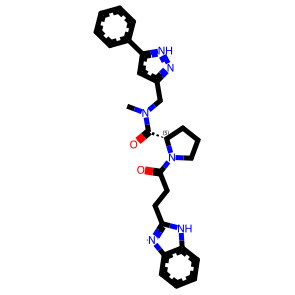 CN(Cc1cc(-c2ccccc2)[nH]n1)C(=O)[C@@H]1CCCN1C(=O)CCC1=[N+]c2ccccc2N1